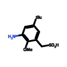 COc1c(N)cc(C(C)(C)C)cc1CS(=O)(=O)O